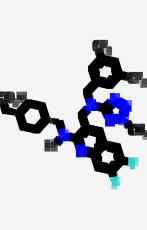 CCN(C[C@H]1CC[C@H](CC(=O)O)CC1)c1nc2cc(F)c(F)cc2cc1CN(Cc1cc(C(F)(F)F)cc(C(F)(F)F)c1)c1nnn(C)n1